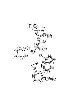 COc1ncnc(C2CC2)c1-c1ncc2cnn(Cc3ccc(-c4nc(C(F)(F)F)cn4C(C)C)cc3OCc3ccccc3)c2n1